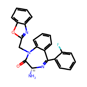 N[C@H]1N=C(c2ccccc2F)c2ccccc2N(Cc2nc3ccccc3o2)C1=O